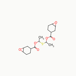 CC(OC(=O)C1CCC2OC2C1)SC(C)OC(=O)C1CCC2OC2C1